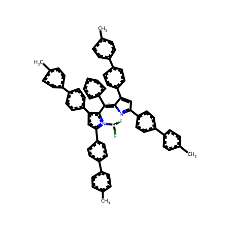 Cc1ccc(-c2ccc(C3=CC(c4ccc(-c5ccc(C)cc5)cc4)=N/C3=C(/c3ccccc3)c3c(-c4ccc(-c5ccc(C)cc5)cc4)cc(-c4ccc(-c5ccc(C)cc5)cc4)n3B(F)F)cc2)cc1